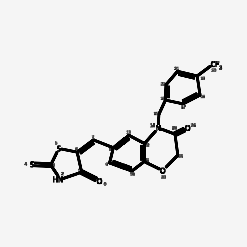 O=C1NC(=S)S/C1=C/c1ccc2c(c1)N(Cc1ccc(C(F)(F)F)cc1)C(=O)CO2